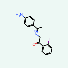 C/C(=N\CC(=O)c1ccccc1I)c1ccc(N)cc1